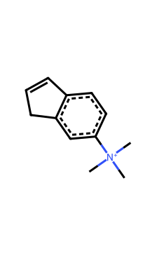 C[N+](C)(C)c1ccc2c(c1)CC=C2